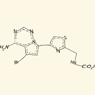 Nc1ncnn2c(-c3csc(CNC(=O)O)n3)cc(Br)c12